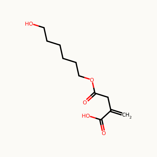 C=C(CC(=O)OCCCCCCO)C(=O)O